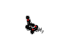 CC1(C)c2ccccc2-c2cc3c(cc21)c1ccccc1n3-c1ccc2c(c1)oc1cccc(C3=NC(c4ccc(-c5ccccc5)cc4)=NC(c4ccccc4)N3)c12